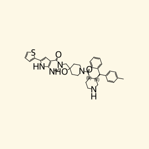 Cc1ccc(C(c2ccccc2)[C@H]2CNCC[C@H]2C(=O)N2CCC(O)(Cn3cnc4[nH]c(-c5cccs5)cc4c3=O)CC2)cc1